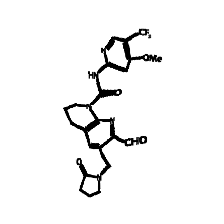 COc1cc(NC(=O)N2CCCc3cc(CN4CCCC4=O)c(C=O)nc32)ncc1C(F)(F)F